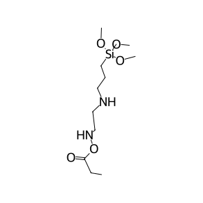 CCC(=O)ONCCNCCC[Si](OC)(OC)OC